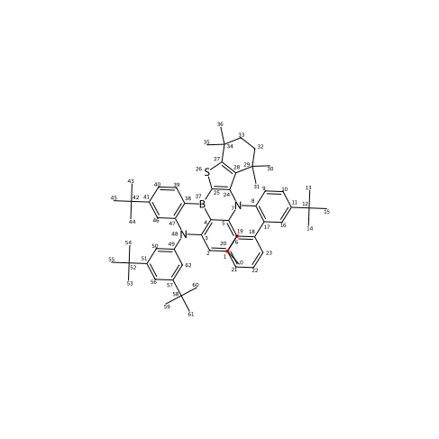 Cc1cc2c3c(c1)N(c1ccc(C(C)(C)C)cc1-c1ccccc1)c1c(sc4c1C(C)(C)CCC4(C)C)B3c1ccc(C(C)(C)C)cc1N2c1cc(C(C)(C)C)cc(C(C)(C)C)c1